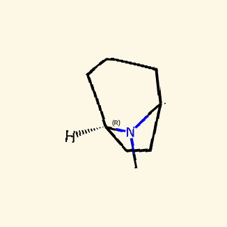 CN1[C]2CCC[C@@H]1CC2